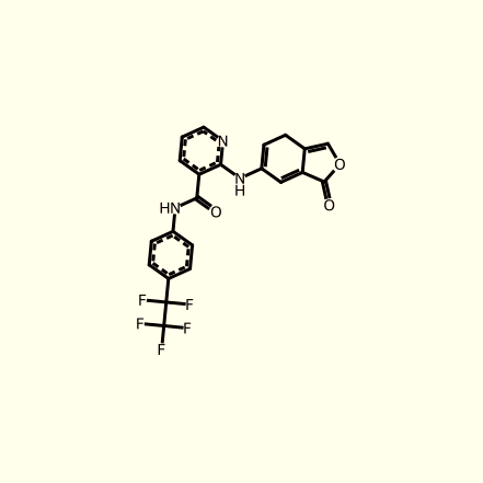 O=C1OC=C2CC=C(Nc3ncccc3C(=O)Nc3ccc(C(F)(F)C(F)(F)F)cc3)C=C12